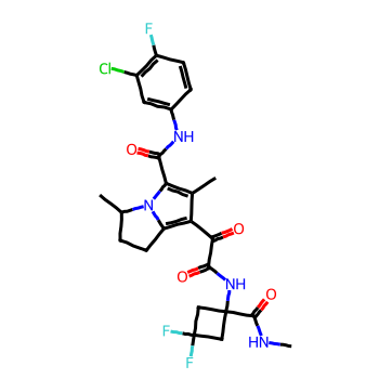 CNC(=O)C1(NC(=O)C(=O)c2c(C)c(C(=O)Nc3ccc(F)c(Cl)c3)n3c2CCC3C)CC(F)(F)C1